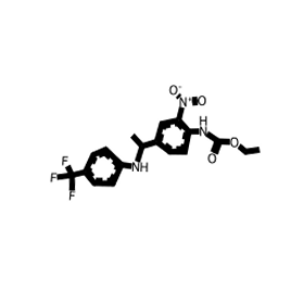 CCOC(=O)Nc1ccc(C(C)Nc2ccc(C(F)(F)F)cc2)cc1[N+](=O)[O-]